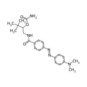 CN(C)c1ccc(N=Nc2ccc(C(=O)NCC(OC(N)=O)C(C)(C)C)cc2)cc1